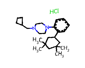 CC1(C)CC(c2ccccc2N2CCN(CC3CCC3)CC2)CC(C)(C)C1.Cl